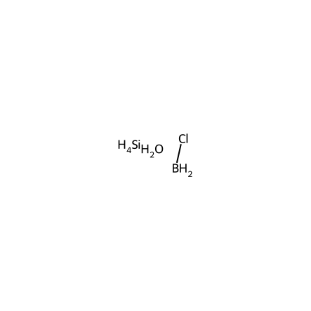 BCl.O.[SiH4]